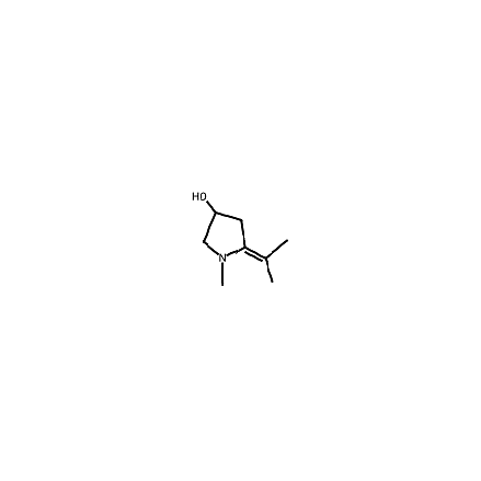 CC(C)=C1CC(O)CN1C